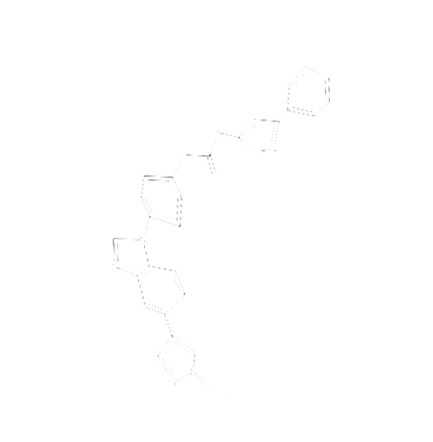 Cn1cc(-c2ccc3c(c2)ncn3-c2ccc(CC(=O)Nc3cc(-c4ccccc4)no3)cc2)cn1